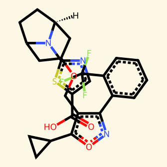 O=C(O)c1cnc(N2C3CC[C@H]2CC(OCc2c(-c4ccccc4C(F)(F)F)noc2C2CC2)C3)s1